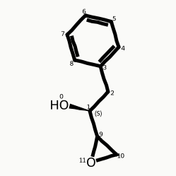 O[C@@H](Cc1ccccc1)C1CO1